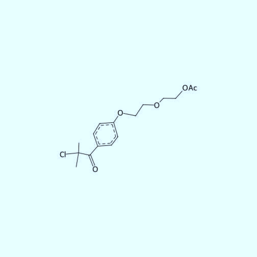 CC(=O)OCCOCCOc1ccc(C(=O)C(C)(C)Cl)cc1